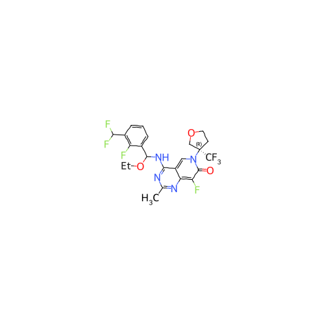 CCOC(Nc1nc(C)nc2c(F)c(=O)n([C@]3(C(F)(F)F)CCOC3)cc12)c1cccc(C(F)F)c1F